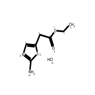 CCOC(=O)Cc1cnc(N)s1.Cl